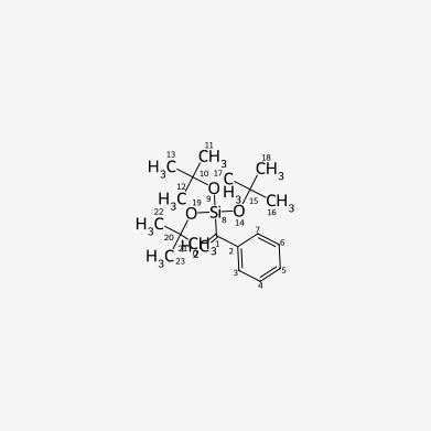 C=C(c1ccccc1)[Si](OC(C)(C)C)(OC(C)(C)C)OC(C)(C)C